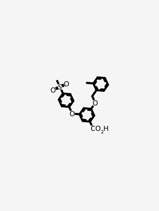 Cc1ccccc1COc1cc(Oc2ccc(S(C)(=O)=O)cc2)cc(C(=O)O)c1